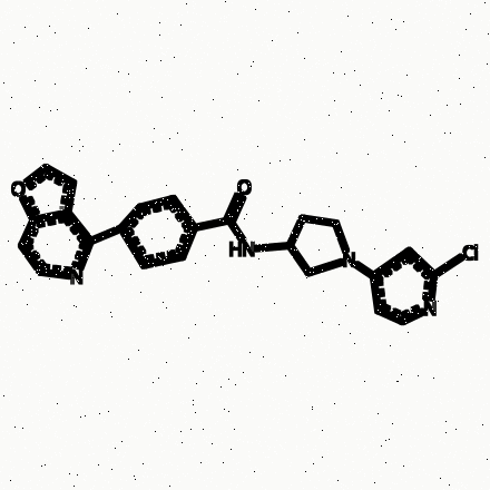 O=C(NC1CCN(c2ccnc(Cl)c2)C1)c1ccc(-c2nccc3occc23)cc1